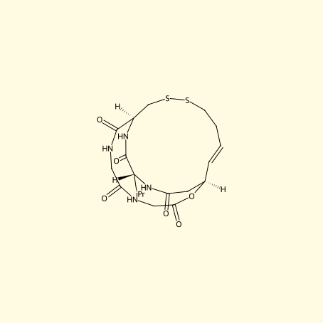 CC(C)[C@H]1NC(=O)C[C@H]2/C=C/CCSSC[C@@H](NC1=O)C(=O)NCC(=O)NCC(=O)O2